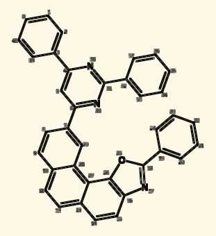 c1ccc(-c2cc(-c3ccc4ccc5ccc6nc(-c7ccccc7)oc6c5c4c3)nc(-c3ccccc3)n2)cc1